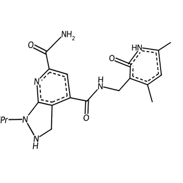 Cc1cc(C)c(CNC(=O)c2cc(C(N)=O)nc3c2CNN3C(C)C)c(=O)[nH]1